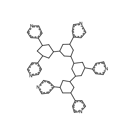 c1cc(C2CC(c3ccncc3)CC(C3CC(c4ccncc4)CC(C4CC(c5ccncc5)CC(C5CC(c6ccncc6)CC(c6ccncc6)C5)C4)C3)C2)ccn1